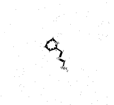 NC=S=Cc1ccccn1